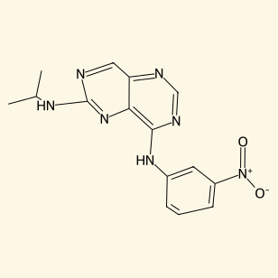 CC(C)Nc1ncc2ncnc(Nc3cccc([N+](=O)[O-])c3)c2n1